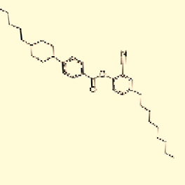 CCCCCCCCCc1ccc(OC(=O)c2ccc(C3CCC(CCCCC)CC3)cc2)c(C#N)c1